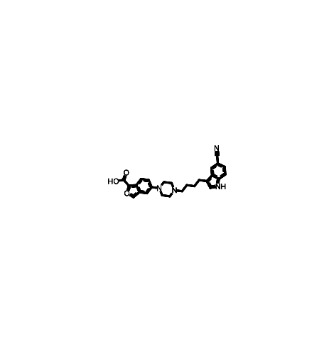 N#Cc1ccc2[nH]cc(CCCCN3CCN(c4ccc5c(C(=O)O)occ5c4)CC3)c2c1